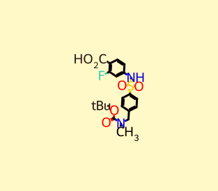 CN(Cc1ccc(S(=O)(=O)Nc2ccc(C(=O)O)c(F)c2)cc1)C(=O)OC(C)(C)C